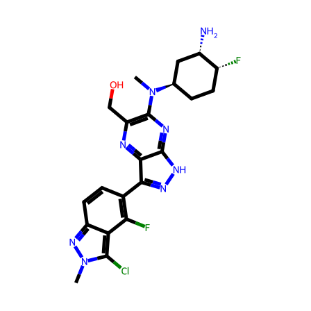 CN(c1nc2[nH]nc(-c3ccc4nn(C)c(Cl)c4c3F)c2nc1CO)[C@@H]1CC[C@@H](F)[C@@H](N)C1